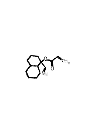 C=CC(=O)OC1(C=N)CCCC2CCCCC21